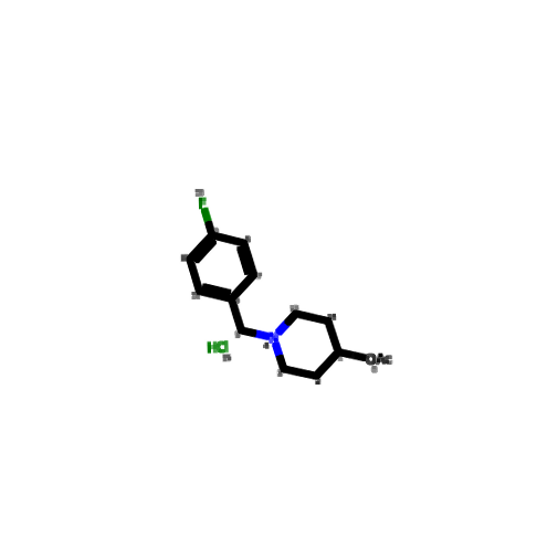 CC(=O)OC1CCN(Cc2ccc(F)cc2)CC1.Cl